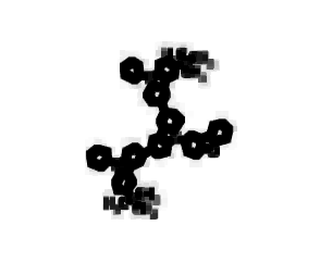 C[Si](C)(C)c1ccc2c(c1)c1cc(-c3ccc4c(c3)c3cc(-c5ccc6c(c5)c5cc([Si](C)(C)C)ccc5n6-c5ccccc5)ccc3n4-c3ccc4oc5ccccc5c4c3)ccc1n2-c1ccccc1